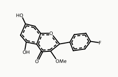 COc1c(-c2ccc(F)cc2)oc2cc(O)cc(O)c2c1=O